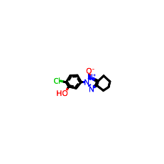 [O-][n+]1c2c(nn1-c1ccc(Cl)c(O)c1)CCCC2